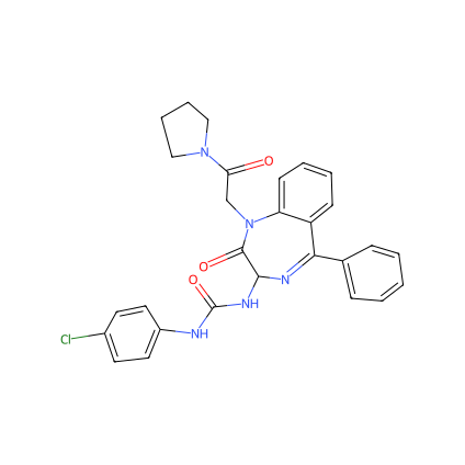 O=C(Nc1ccc(Cl)cc1)NC1N=C(c2ccccc2)c2ccccc2N(CC(=O)N2CCCC2)C1=O